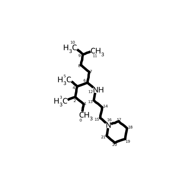 CCC(C)C(C)C(CCC(C)C)NCCCN1CCCCC1